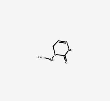 CCCCCNN1CC=NNC1=O